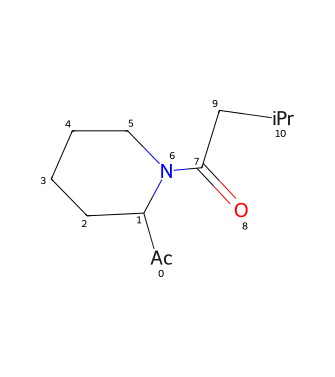 CC(=O)C1CCCCN1C(=O)CC(C)C